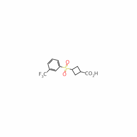 O=C(O)C1CC(S(=O)(=O)c2cccc(C(F)(F)F)c2)C1